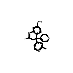 COc1ccc2c(c1)N=C(O)CC2(C1=CCOCC1)c1ccnc(C)c1